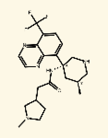 C[C@@H]1CNC[C@](NC(=O)CC2CCN(C)C2)(c2ccc(C(F)(F)F)c3nccnc23)C1